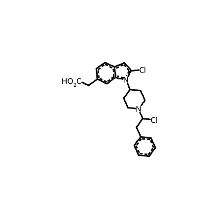 O=C(O)Cc1ccc2cc(Cl)n(C3CCN(C(Cl)Cc4ccccc4)CC3)c2c1